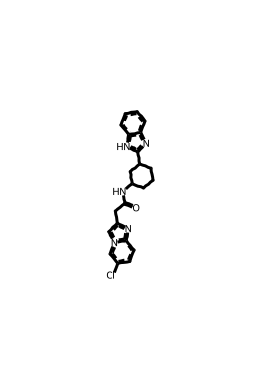 O=C(Cc1cn2cc(Cl)ccc2n1)NC1CCCC(c2nc3ccccc3[nH]2)C1